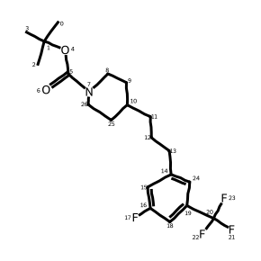 CC(C)(C)OC(=O)N1CCC(CCCc2cc(F)cc(C(F)(F)F)c2)CC1